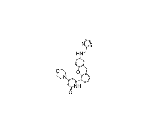 O=c1cc(N2CCOCC2)cc(-c2cccc3c2Oc2ccc(NCc4nccs4)cc2C3)[nH]1